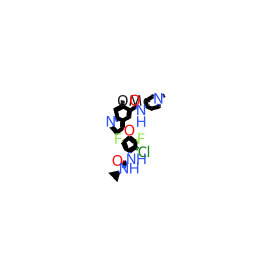 COc1cc2nccc(Oc3c(F)cc(NC(=O)NC4CC4)c(Cl)c3F)c2cc1C(=O)NC1CCN(C)CC1